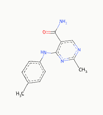 Cc1ccc(Nc2nc(C)ncc2C(N)=O)cc1